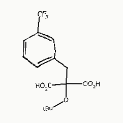 CC(C)(C)OC(Cc1cccc(C(F)(F)F)c1)(C(=O)O)C(=O)O